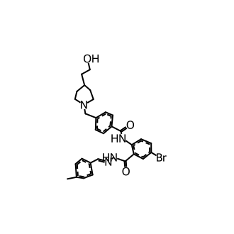 Cc1ccc(C=NNC(=O)c2cc(Br)ccc2NC(=O)c2ccc(CN3CCC(CCO)CC3)cc2)cc1